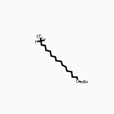 CCCCOCCCCCCCCCCCCCCC(F)(F)C(F)(F)F